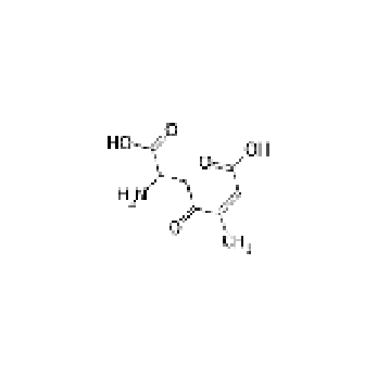 CC(=CC(=O)O)C(=O)CC(N)C(=O)O